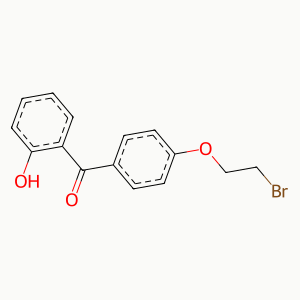 O=C(c1ccc(OCCBr)cc1)c1ccccc1O